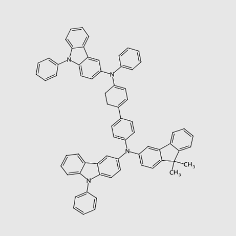 CC1(C)c2ccccc2-c2cc(N(c3ccc(C4=CC=C(N(c5ccccc5)c5ccc6c(c5)c5ccccc5n6-c5ccccc5)CC4)cc3)c3ccc4c(c3)c3ccccc3n4-c3ccccc3)ccc21